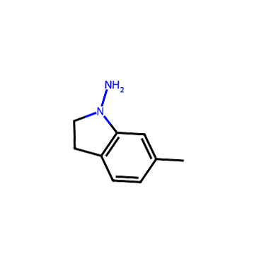 Cc1ccc2c(c1)N(N)CC2